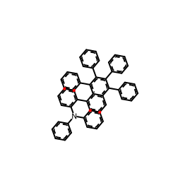 c1ccc(-c2c(-c3ccccc3)c(-c3ccccc3)c3c(-c4ccccc4N(c4ccccc4)c4ccccc4)cccc3c2-c2ccccc2)cc1